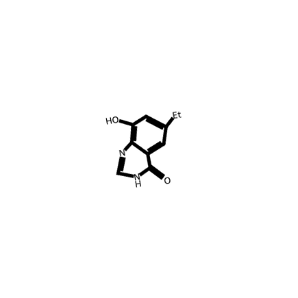 CCc1cc(O)c2nc[nH]c(=O)c2c1